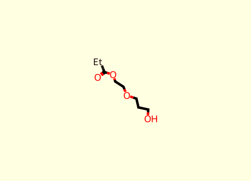 CCC(=O)OCCOCCCO